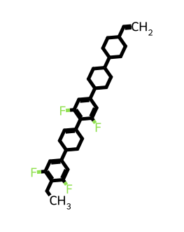 C=CC1CCC(C2CCC(c3cc(F)c(C4=CCC(c5cc(F)c(CC)c(F)c5)CC4)c(F)c3)CC2)CC1